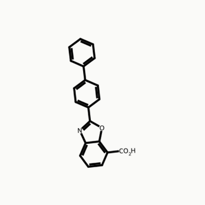 O=C(O)c1cccc2nc(-c3ccc(-c4ccccc4)cc3)oc12